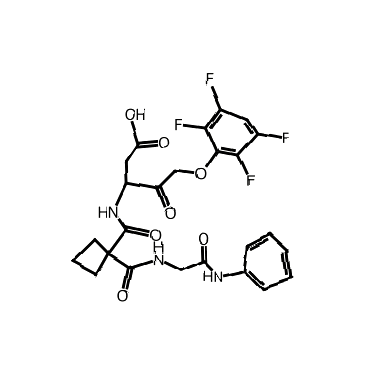 O=C(O)CC(NC(=O)C1(C(=O)NCC(=O)Nc2ccccc2)CCC1)C(=O)COc1c(F)c(F)cc(F)c1F